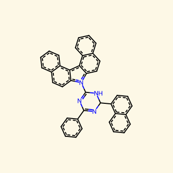 c1ccc(C2=NC(c3cccc4ccccc34)NC(n3c4ccc5ccccc5c4c4c5ccccc5ccc43)=N2)cc1